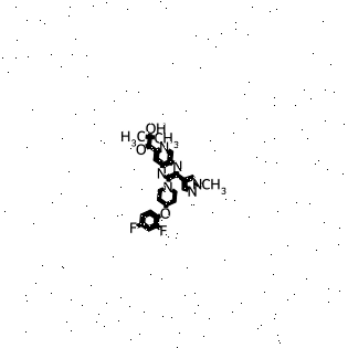 Cn1cc(-c2nc3cnc(C(=O)C(C)(C)O)cc3nc2N2CCC(Oc3ccc(F)cc3F)CC2)cn1